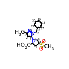 Cc1cc(N2CC(S(C)(=O)=O)CC2C(=O)O)n(Cc2ccccc2)n1